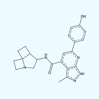 Cc1n[nH]c2nc(-c3ccc(O)cc3)cc(C(=O)NC3CN4CCC45CCC35)c12